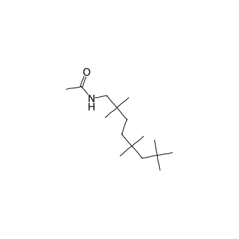 CC(=O)NCC(C)(C)CCC(C)(C)CC(C)(C)C